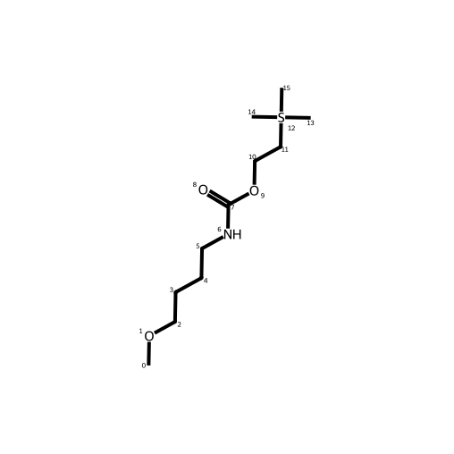 COCCCCNC(=O)OCCS(C)(C)C